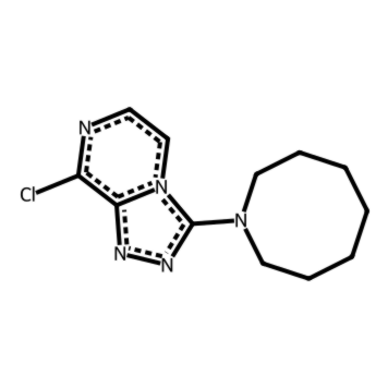 Clc1nccn2c(N3CCCCCCC3)nnc12